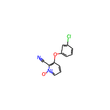 N#Cc1c(Oc2cccc(Cl)c2)ccc[n+]1[O-]